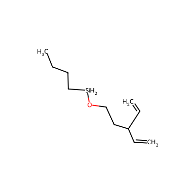 C=CC(C=C)CCO[SiH2]CCCC